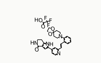 O=C(O)C(F)(F)F.O=C1NCCc2[nH]c(-c3ccnc(C=Cc4ccccc4N4CCC5(CC4)OCCO5)c3)cc21